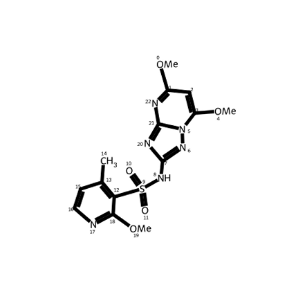 COc1cc(OC)n2nc(NS(=O)(=O)c3c(C)ccnc3OC)nc2n1